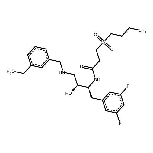 CCCCS(=O)(=O)CCC(=O)N[C@@H](Cc1cc(F)cc(F)c1)[C@@H](O)CNCc1cccc(CC)c1